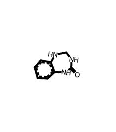 O=C1NCNc2ccccc2N1